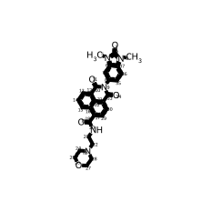 Cn1c(=O)n(C)c2cc(N3C(=O)c4cccc5c(C(=O)NCCN6CCOCC6)ccc(c45)C3=O)ccc21